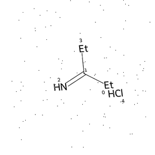 CCC(=N)CC.Cl